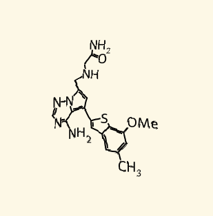 COc1cc(C)cc2cc(-c3cc(CNCC(N)=O)n4ncnc(N)c34)sc12